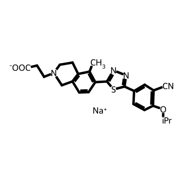 Cc1c(-c2nnc(-c3ccc(OC(C)C)c(C#N)c3)s2)ccc2c1CCN(CCC(=O)[O-])C2.[Na+]